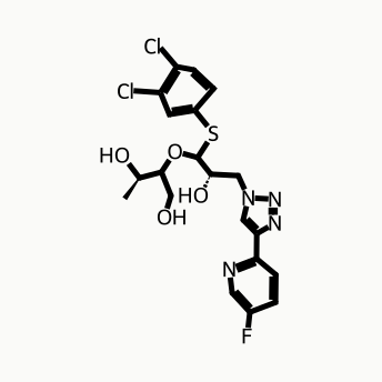 C[C@@H](O)C(CO)OC(Sc1ccc(Cl)c(Cl)c1)[C@@H](O)Cn1cc(-c2ccc(F)cn2)nn1